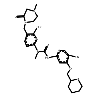 CN1CCN(Cc2ccc(N(C)C(=O)Nc3cc(OCC4CCCCO4)c(C#N)cn3)nc2C=O)C(=O)C1